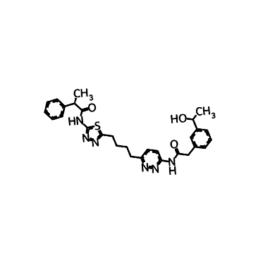 CC(O)c1cccc(CC(=O)Nc2ccc(CCCCc3nnc(NC(=O)[C@H](C)c4ccccc4)s3)nn2)c1